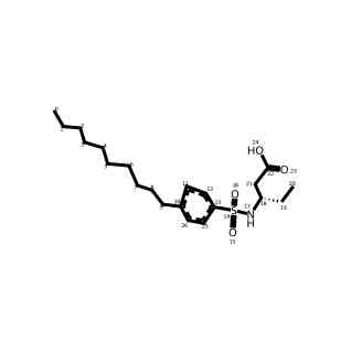 CCCCCCCCCCc1ccc(S(=O)(=O)N[C@@H](CC)CC(=O)O)cc1